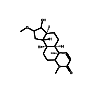 COC1C[C@H]2[C@@H]3CCC4N(C)C(=O)C=C[C@]4(C)[C@@H]3CC[C@]2(C)C1O